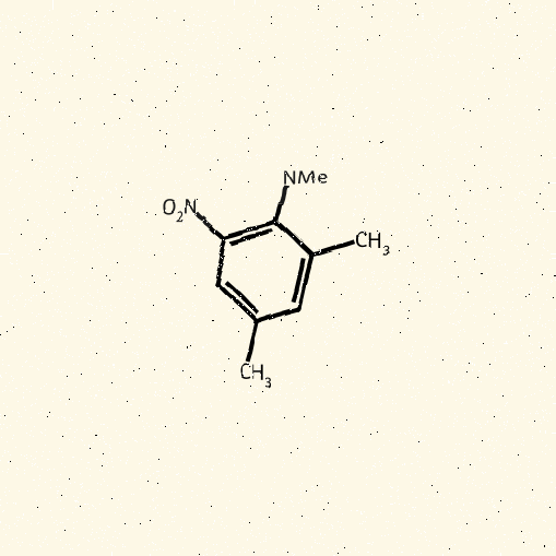 CNc1c(C)cc(C)cc1[N+](=O)[O-]